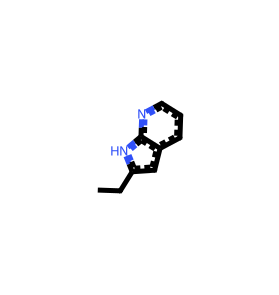 CCc1cc2cccnc2[nH]1